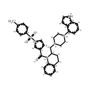 Cc1ccc(S(=O)(=O)n2ccc(C(=O)N3c4ccccc4CCC3CN3CCN(c4cccc5[nH]ccc45)CC3)c2)cc1